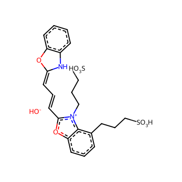 O=S(=O)(O)CCCc1cccc2oc(C=CC=C3Nc4ccccc4O3)[n+](CCCS(=O)(=O)O)c12.[OH-]